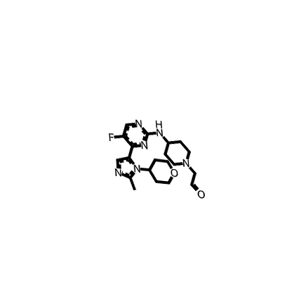 Cc1ncc(-c2nc(NC3CCN(CC=O)CC3)ncc2F)n1C1CCOCC1